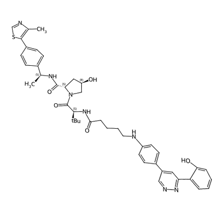 Cc1ncsc1-c1ccc([C@H](C)NC(=O)[C@@H]2C[C@@H](O)CN2C(=O)[C@@H](NC(=O)CCCCNc2ccc(-c3cnnc(-c4ccccc4O)c3)cc2)C(C)(C)C)cc1